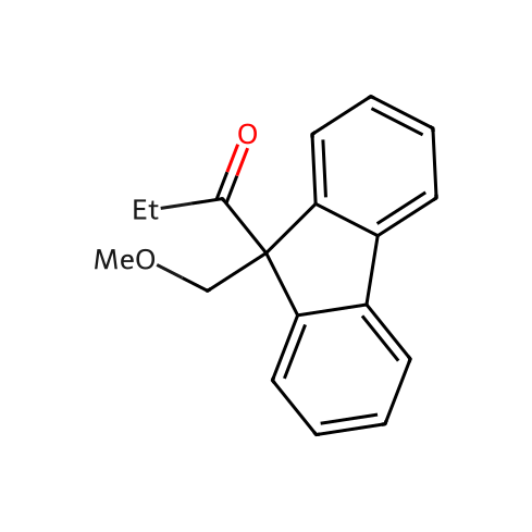 CCC(=O)C1(COC)c2ccccc2-c2ccccc21